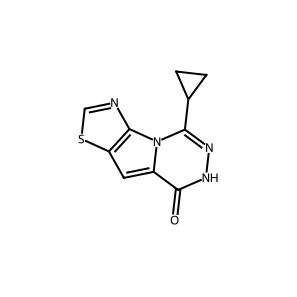 O=c1[nH]nc(C2CC2)n2c1cc1scnc12